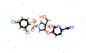 N#Cc1ccc(O[C@H]2CN(S(=O)(=O)c3ccc(Cl)cc3Cl)C[C@@]2(O)CO)cn1